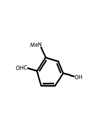 CNc1cc(O)ccc1C=O